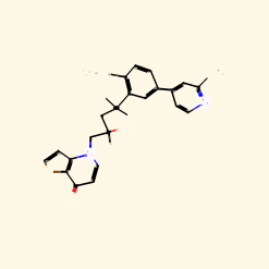 COc1ccc(-c2ccnc(C#N)c2)cc1C(C)(C)CC(O)(Cn1ccc(=O)c2sccc21)C(F)(F)F